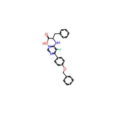 O=C(O)C(Cc1ccccc1)Nc1ncnc(-c2ccc(OCc3ccccc3)cc2)c1F